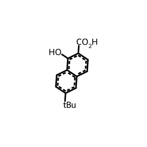 CC(C)(C)c1ccc2c(O)c(C(=O)O)ccc2c1